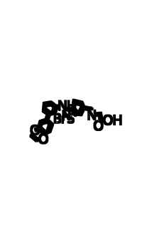 O=C(O)CN=Cc1ccc2c(Nc3cccc(-c4ccc5c(c4)OCCO5)c3Br)nsc2c1